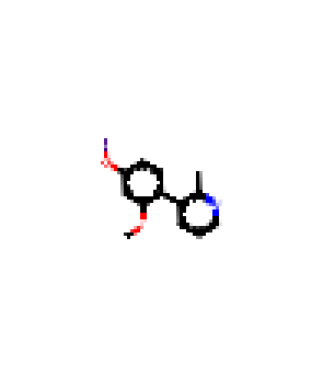 COc1cc(OI)ccc1-c1cccnc1C